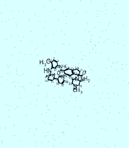 Cc1ccc(NC(=O)c2ccc3c(c2)CCC3(C(N)=O)N2CCN(C)CC2)cc1Nc1nccc(-c2cccnc2)n1